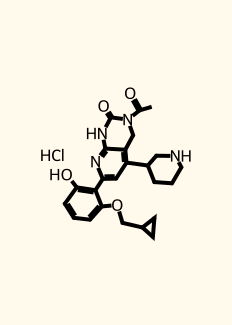 CC(=O)N1Cc2c(C3CCCNC3)cc(-c3c(O)cccc3OCC3CC3)nc2NC1=O.Cl